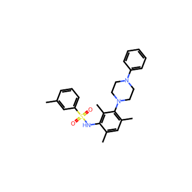 Cc1cccc(S(=O)(=O)Nc2c(C)cc(C)c(N3CCN(c4ccccc4)CC3)c2C)c1